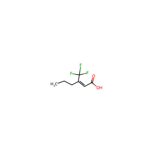 CCCC(=CC(=O)O)C(F)(F)F